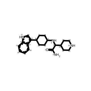 NC(=O)C(NC1CCC(c2c[nH]c3ccccc23)CC1)C1CCNCC1